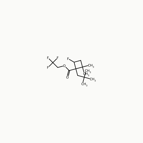 CC(C)(C)CC1(C(=O)OCC(F)(F)F)C(F)CC1(C)C